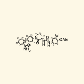 COc1ccc(NC(=O)N[C@@H]2CCCN(c3ccc(-c4ccccc4C(N)=O)cc3)C2=O)cc1Cl